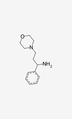 NC(CCN1CCOCC1)c1ccccc1